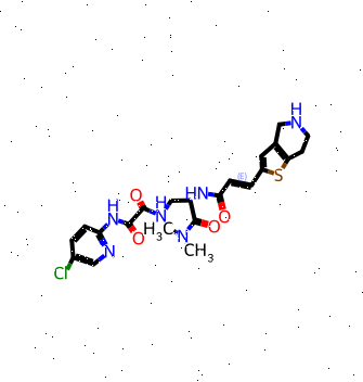 CN(C)C(=O)C(CNC(=O)C(=O)Nc1ccc(Cl)cn1)NC(=O)/C=C/c1cc2c(s1)CCNC2